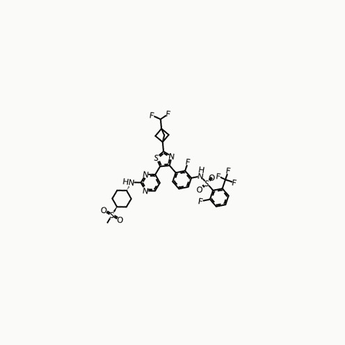 CS(=O)(=O)[C@H]1CC[C@H](Nc2nccc(-c3sc(C45CC(C(F)F)(C4)C5)nc3-c3cccc(NS(=O)(=O)c4c(F)cccc4C(F)(F)F)c3F)n2)CC1